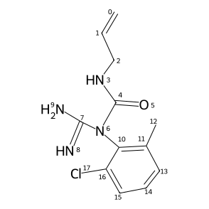 C=CCNC(=O)N(C(=N)N)c1c(C)cccc1Cl